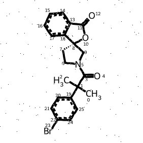 CC(C)(C(=O)N1CC[C@@]2(C1)OC(=O)c1ccccc12)c1ccc(Br)cc1